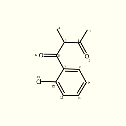 CC(=O)C(C)C(=O)c1ccccc1Cl